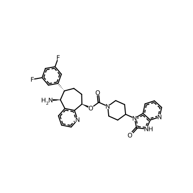 N[C@@H]1c2cccnc2[C@H](OC(=O)N2CCC(n3c(=O)[nH]c4ncccc43)CC2)CC[C@H]1c1cc(F)cc(F)c1